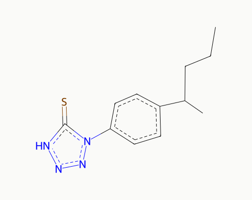 CCCC(C)c1ccc(-n2nn[nH]c2=S)cc1